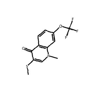 CSc1cn(C)c2cc(OC(F)(F)F)ccc2c1=O